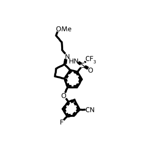 COCCCN=C1CCc2c(Oc3cc(F)cc(C#N)c3)ccc(S(=N)(=O)C(F)(F)F)c21